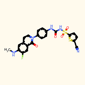 CNc1cc2ccn(-c3ccc(NC(=O)NS(=O)(=O)c4ccc(C#N)s4)cc3)c(=O)c2cc1F